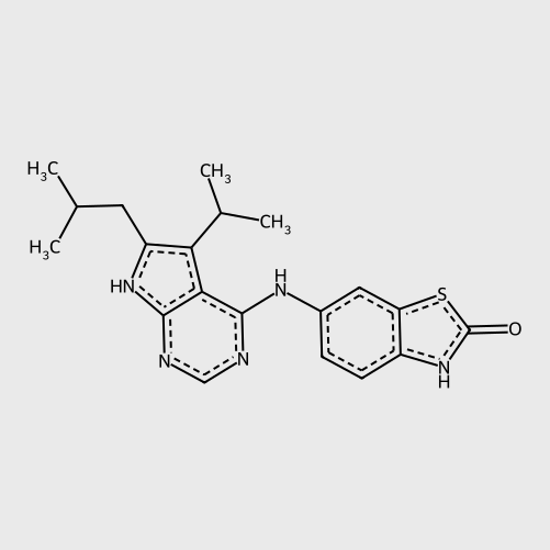 CC(C)Cc1[nH]c2ncnc(Nc3ccc4[nH]c(=O)sc4c3)c2c1C(C)C